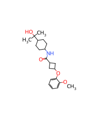 COc1ccccc1OC1CC(C(=O)NC2CCC(C(C)(C)O)CC2)C1